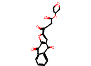 O=C(CC(=O)c1cc2c(o1)C(=O)c1ccccc1C2=O)OC1COC1